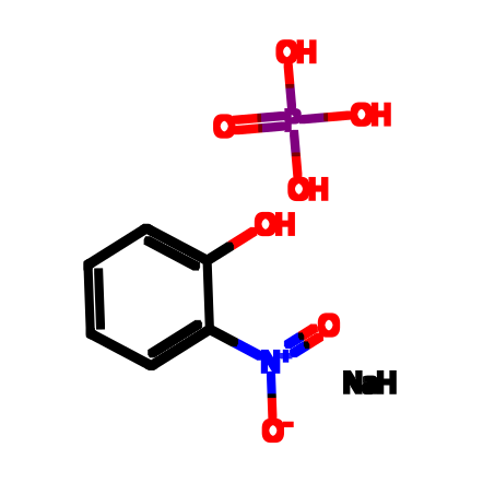 O=P(O)(O)O.O=[N+]([O-])c1ccccc1O.[NaH]